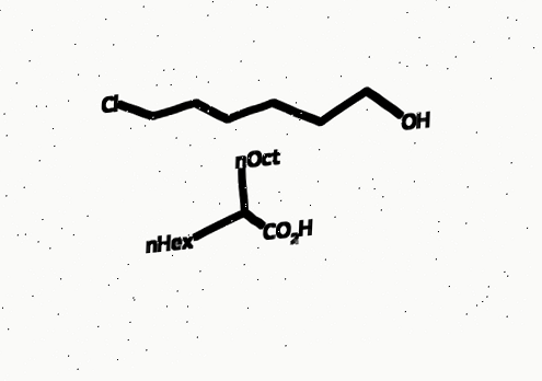 CCCCCCCCC(CCCCCC)C(=O)O.OCCCCCCCl